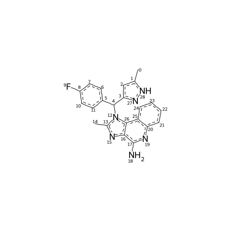 Cc1cc(C(c2ccc(F)cc2)n2c(C)nc3c(N)nc4ccccc4c32)n[nH]1